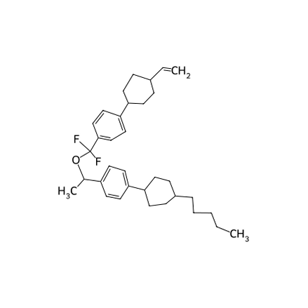 C=CC1CCC(c2ccc(C(F)(F)OC(C)c3ccc(C4CCC(CCCCC)CC4)cc3)cc2)CC1